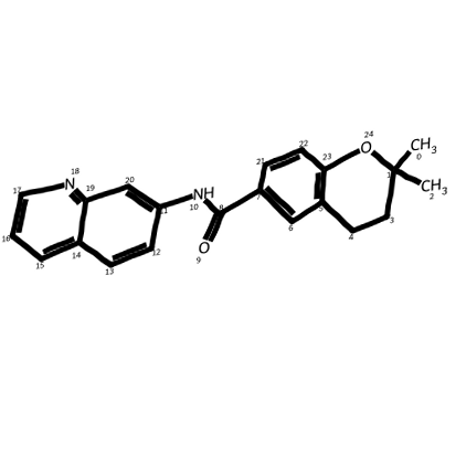 CC1(C)CCc2cc(C(=O)Nc3ccc4cccnc4c3)ccc2O1